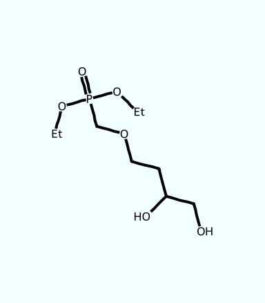 CCOP(=O)(COCCC(O)CO)OCC